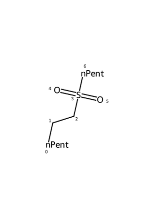 CCCCCCCS(=O)(=O)CCCCC